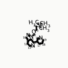 C[Si](C)(C)CCOCn1ncc2ccnc(-c3cccnc3)c21